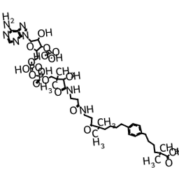 CC(C)(CCCCc1ccc(CCCCC(C)(C)C(=O)CCNC(=O)CCNC(=O)C(O)C(C)(C)COP(=O)(O)OP(=O)(O)OCC2OC(n3cnc4c(N)ncnc43)C(O)C2OP(=O)(O)O)cc1)C(=O)O